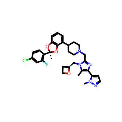 Cc1c(-c2ccnn2C)nc(CN2CCC(c3cccc4c3O[C@@](C)(c3ccc(Cl)cc3F)O4)CC2)n1C[C@@H]1CCO1